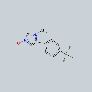 Cn1c[n+]([O-])cc1-c1ccc(C(F)(F)F)cc1